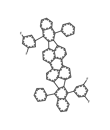 Fc1cc(F)cc(-c2c3c(c(-c4ccccc4)c4ccccc24)-c2ccc4c5ccc6c7c(ccc(c8ccc-3c2c48)c75)-c2c-6c(-c3cc(F)cc(F)c3)c3ccccc3c2-c2ccccc2)c1